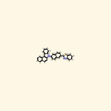 c1ccc2c(c1)ccc1c2c2ccccc2n1-c1ccc2cc(-c3nc4ccccc4s3)ccc2c1